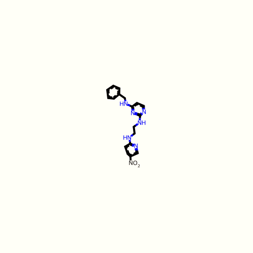 O=[N+]([O-])c1ccc(NCCNc2nccc(NCc3ccccc3)n2)nc1